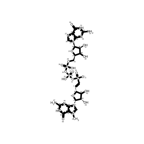 C[n+]1cn([C@@H]2O[C@H](/C=C/P(=O)([O-])OP(=O)(O)OP(=O)(O)OC[C@H]3O[C@@H](n4cnc5c(=O)[nH]c(N)nc54)[C@@H](O)C3O)C(O)[C@@H]2O)c2nc(N)[nH]c(=O)c21